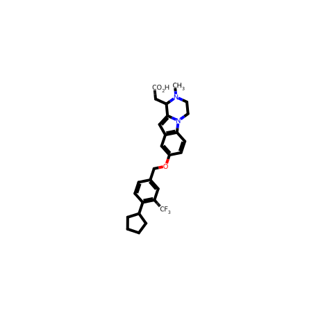 CN1CCn2c(cc3cc(OCc4ccc(C5CCCC5)c(C(F)(F)F)c4)ccc32)C1CC(=O)O